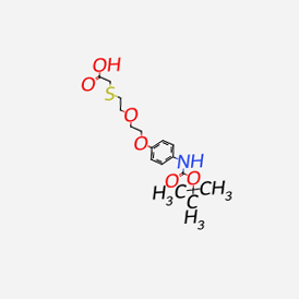 CC(C)(C)OC(=O)Nc1ccc(OCCOCCSCC(=O)O)cc1